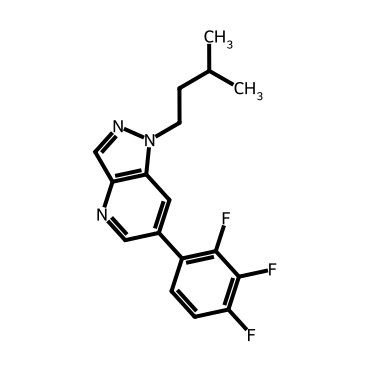 CC(C)CCn1ncc2ncc(-c3ccc(F)c(F)c3F)cc21